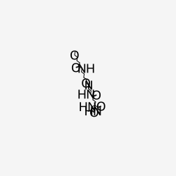 CNC(=O)[C@H](CCC(=O)NC/C=N/OCCCCNC(=O)CCCOC)NC(C)=O